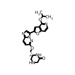 CC(C)Oc1nccc2oc(-c3cnc4ccc(OC[C@H]5CNCC(=O)N5)nn34)cc12